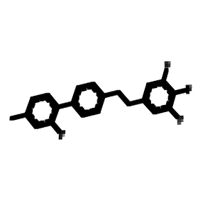 Cc1ccc(-c2ccc(CCc3cc(F)c(F)c(F)c3)cc2)c(F)c1